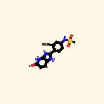 COc1cc(NS(C)(=O)=O)ccc1-c1nc2[nH]c(=O)ccc2[nH]1